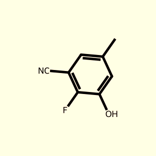 Cc1cc(O)c(F)c(C#N)c1